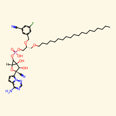 CCCCCCCCCCCCCCCCCCCOC[C@H](COP(=O)(O)OC1[C@H]2O[C@@](C#N)(c3ccc4c(N)ncnn34)[C@H](O)[C@@]12O)OCc1cc(F)cc(C#N)c1